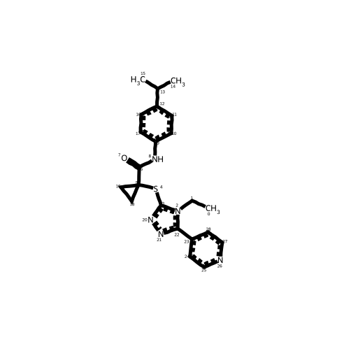 CCn1c(SC2(C(=O)Nc3ccc(C(C)C)cc3)CC2)nnc1-c1ccncc1